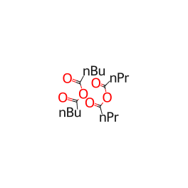 CCCC(=O)OC(=O)CCC.CCCCC(=O)OC(=O)CCCC